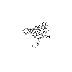 COCCOC(=O)N1C(=O)[C@@]2(c3cc(C#CC4(O)CCCCCC4)ccc31)[C@H](C(N)=O)[C@H]1C(=O)O[C@H](c3ccccc3)[C@H](c3ccccc3)N1[C@@H]2c1ccc(O)cc1